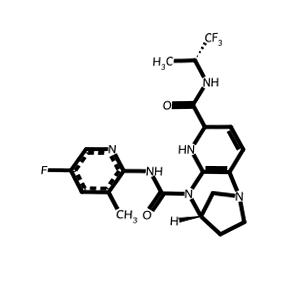 Cc1cc(F)cnc1NC(=O)N1C2=C(C=CC(C(=O)N[C@H](C)C(F)(F)F)N2)N2CC[C@H]1C2